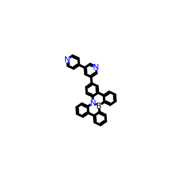 c1ccc2c(c1)B1c3ccccc3-c3cc(-c4cncc(-c5ccncc5)c4)ccc3N1c1ccccc1-2